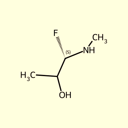 CN[C@@H](F)C(C)O